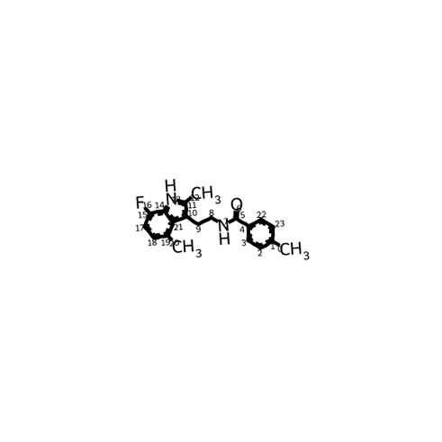 Cc1ccc(C(=O)NCCc2c(C)[nH]c3c(F)ccc(C)c23)cc1